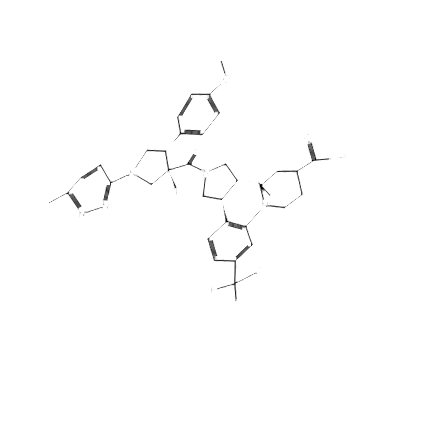 CC[C@H]1CN(C(=O)[C@]2(F)CN(c3ccc(C)nn3)C[C@H]2c2ccc(OC)cc2)C[C@@H]1c1ccc(C(F)(F)F)cc1N1CCC(C(=O)O)CC1